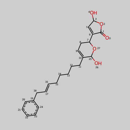 O=C1OC(O)C=C1C1CC=C(CCCCC/C=C/Cc2ccccc2)C(O)O1